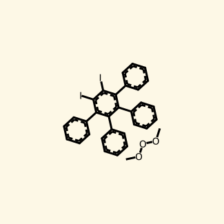 COOOC.Ic1c(I)c(-c2ccccc2)c(-c2ccccc2)c(-c2ccccc2)c1-c1ccccc1